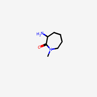 CN1CCCCC(N)C1=O